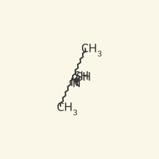 CCCCCCCCCCCCCCCCCCCCCC.N#CS.N#CS